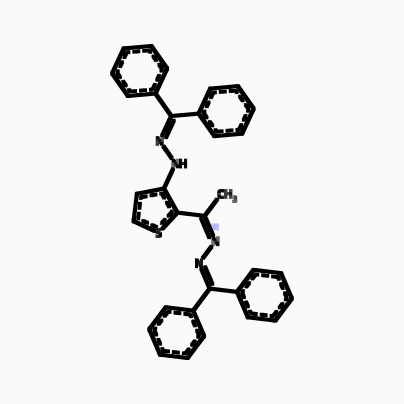 C/C(=N/N=C(c1ccccc1)c1ccccc1)c1sccc1NN=C(c1ccccc1)c1ccccc1